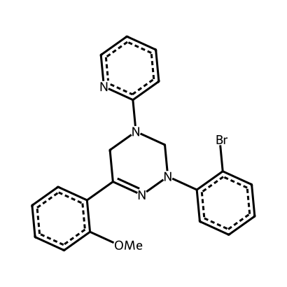 COc1ccccc1C1=NN(c2ccccc2Br)CN(c2ccccn2)C1